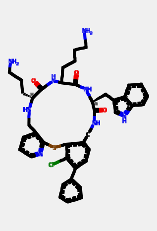 NCCCCC1NC(=O)[C@@H](CCCN)NCc2cccnc2Sc2c(ccc(-c3ccccc3)c2Cl)CNC(=O)[C@H](Cc2c[nH]c3ccccc23)NC1=O